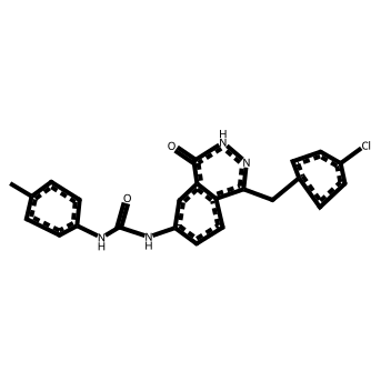 Cc1ccc(NC(=O)Nc2ccc3c(Cc4ccc(Cl)cc4)n[nH]c(=O)c3c2)cc1